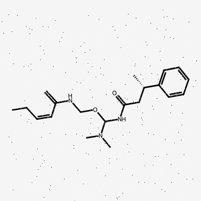 C=C(/C=C\CC)NCOC(NC(=O)C[C@H](C)c1ccccc1)N(C)C